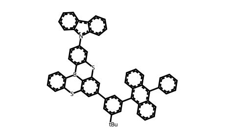 CC(C)(C)c1cc(-c2cc3c4c(c2)Sc2cc(-n5c6ccccc6c6ccccc65)ccc2B4c2ccccc2S3)cc(-c2c3ccccc3c(-c3ccccc3)c3ccccc23)c1